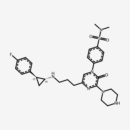 CN(C)S(=O)(=O)c1ccc(-n2cc(CCCN[C@@H]3C[C@H]3c3ccc(F)cc3)nc(N3CCNCC3)c2=O)cc1